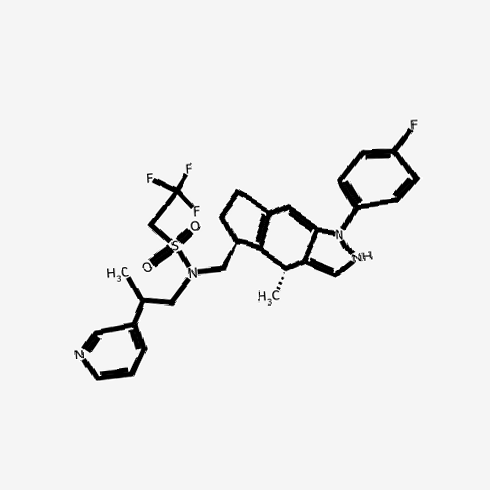 CC(CN(C[C@H]1CCC2=C1[C@@H](C)C1=CNN(c3ccc(F)cc3)C1=C2)S(=O)(=O)CC(F)(F)F)c1cccnc1